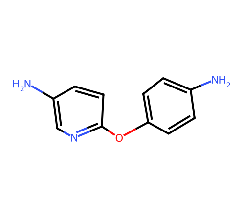 Nc1ccc(Oc2ccc(N)cn2)cc1